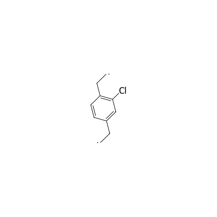 [CH2]Cc1ccc(C[CH2])c(Cl)c1